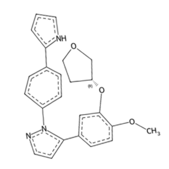 COc1ccc(-c2ccnn2-c2ccc(-c3ccc[nH]3)cc2)cc1O[C@@H]1CCOC1